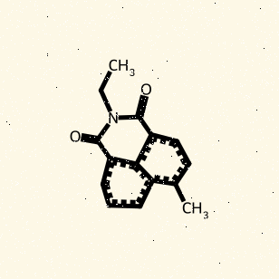 CCN1C(=O)c2cccc3c(C)ccc(c23)C1=O